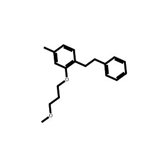 COCCCOc1cc(C)ccc1CCc1ccccc1